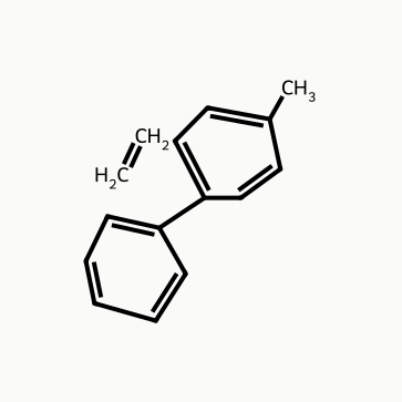 C=C.Cc1ccc(-c2ccccc2)cc1